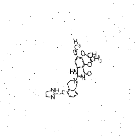 COc1cc2[nH]c(N3CCc4c(CCC5=NCCN5)cccc4C3)nc(=O)c2c(OC)c1OC